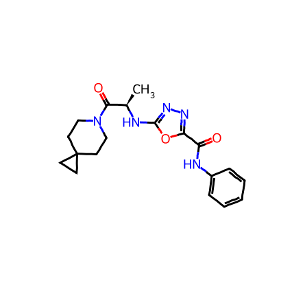 C[C@@H](Nc1nnc(C(=O)Nc2ccccc2)o1)C(=O)N1CCC2(CC1)CC2